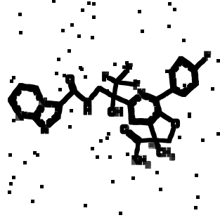 C[C@]1(C(N)=O)COc2c1cc(C(O)(CNC(=O)c1cnc3ncccn13)C(F)(F)F)nc2-c1ccc(F)cc1